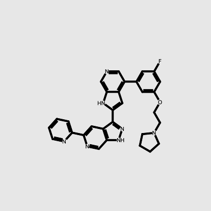 Fc1cc(OCCN2CCCC2)cc(-c2cncc3[nH]c(-c4n[nH]c5cnc(-c6ccccn6)cc45)cc23)c1